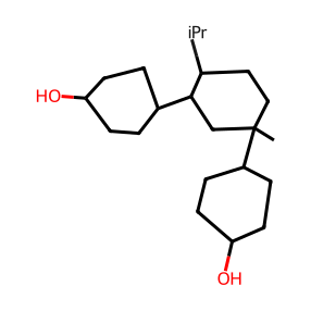 CC(C)C1CCC(C)(C2CCC(O)CC2)CC1C1CCC(O)CC1